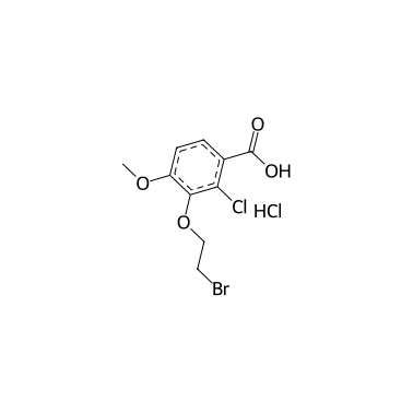 COc1ccc(C(=O)O)c(Cl)c1OCCBr.Cl